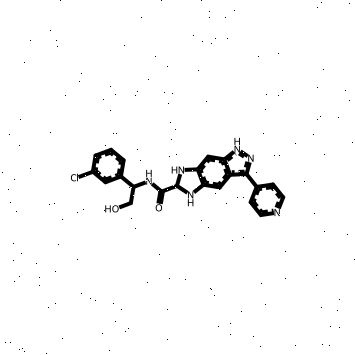 O=C(NC(CO)c1cccc(Cl)c1)C1Nc2cc3[nH]nc(-c4ccncc4)c3cc2N1